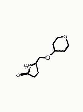 O=C1CCC(COC2CCOCC2)N1